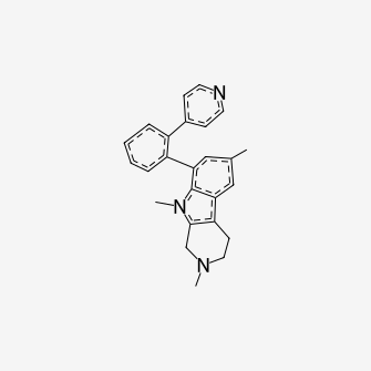 Cc1cc(-c2ccccc2-c2ccncc2)c2c(c1)c1c(n2C)CN(C)CC1